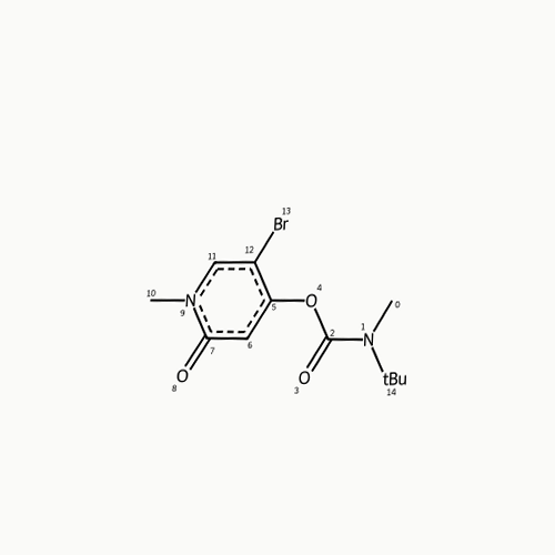 CN(C(=O)Oc1cc(=O)n(C)cc1Br)C(C)(C)C